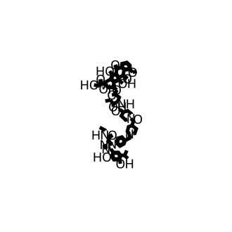 CCNC(=O)c1nnc(-c2cc(C(C)C)c(O)cc2O)n1-c1ccc(CN2CCC(C(=O)N3CCC(C(=O)NC4CC(OC5C[C@](O)(C(=O)CO)Cc6c(O)c7c(c(O)c65)C(=O)c5c(OC)cccc5C7=O)OC(C)C4O)CC3)CC2)cc1